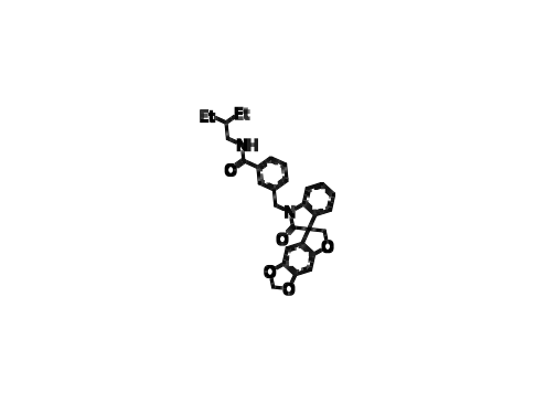 CCC(CC)CNC(=O)c1cccc(CN2C(=O)C3(COc4cc5c(cc43)OCO5)c3ccccc32)c1